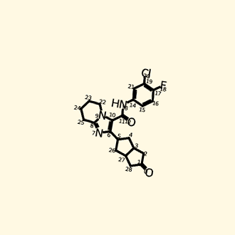 O=C1CC2CC(c3nc4n(c3C(=O)Nc3ccc(F)c(Cl)c3)CCCC4)CC2C1